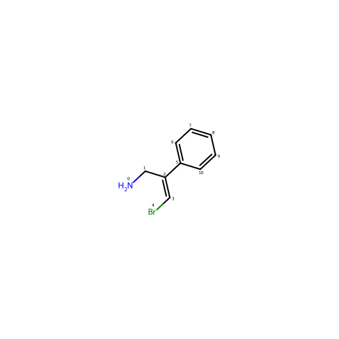 NCC(=CBr)c1ccccc1